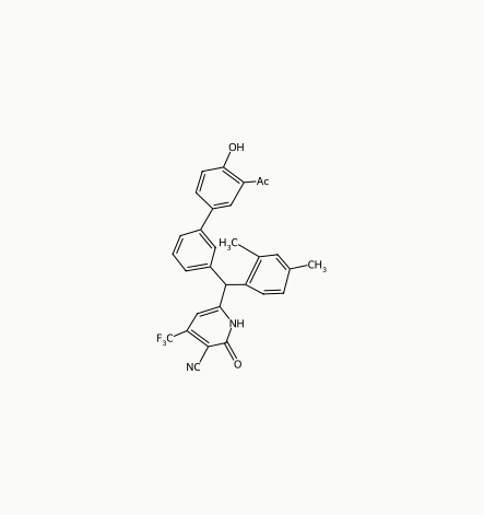 CC(=O)c1cc(-c2cccc(C(c3cc(C(F)(F)F)c(C#N)c(=O)[nH]3)c3ccc(C)cc3C)c2)ccc1O